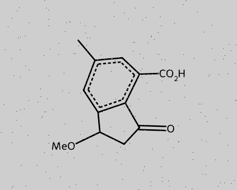 COC1CC(=O)c2c(C(=O)O)cc(C)cc21